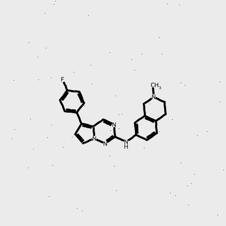 CN1CCc2ccc(Nc3ncc4c(-c5ccc(F)cc5)ccn4n3)cc2C1